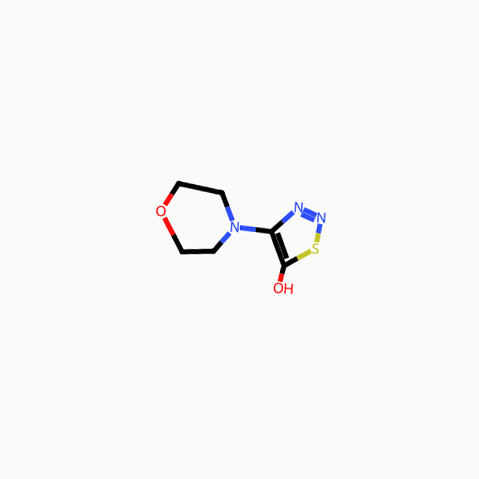 Oc1snnc1N1CCOCC1